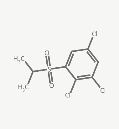 CC(C)S(=O)(=O)c1cc(Cl)cc(Cl)c1Cl